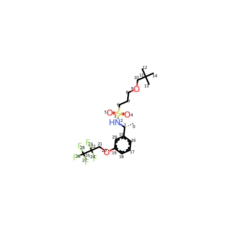 C[C@@H](NS(=O)(=O)CCCOCC(C)(C)C)c1cccc(OCC(F)(F)C(F)(F)F)c1